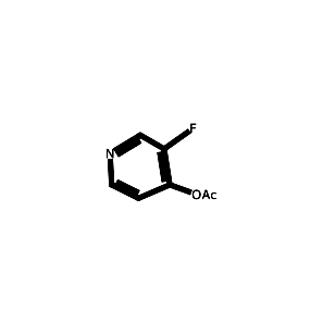 CC(=O)Oc1ccncc1F